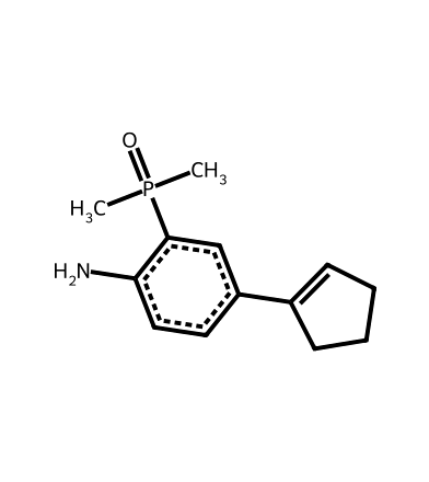 CP(C)(=O)c1cc(C2=CCCC2)ccc1N